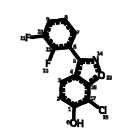 Oc1ccc2c(-c3cccc(F)c3F)noc2c1Cl